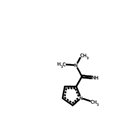 CN(C)C(=N)c1cccn1C